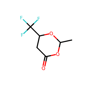 CC1OC(=O)CC(C(F)(F)F)O1